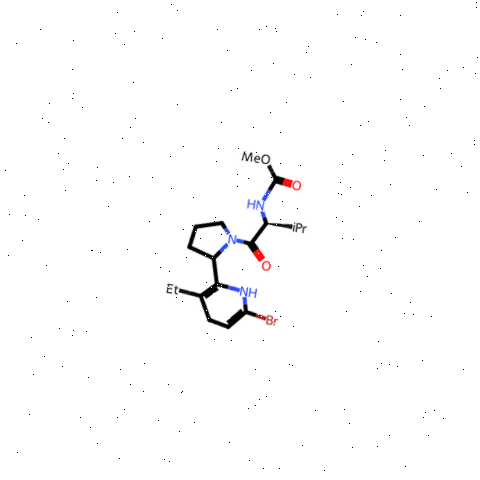 CCC1=C(C2CCCN2C(=O)[C@@H](NC(=O)OC)C(C)C)NC(Br)=CC1